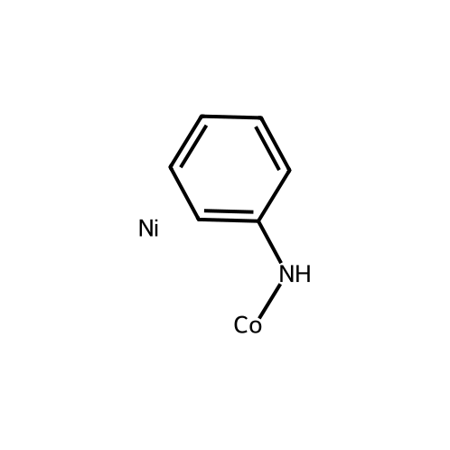 [Co][NH]c1ccccc1.[Ni]